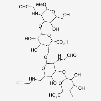 C#CCNCC1OC(OCC2C(C(=O)O)OC(OC3C(O)C(CO)OC(OC)C3NCC=O)C(O)C2O)C(NCC=O)C(OC2OC(C(=O)O)C(C)C(O)C2O)C1O